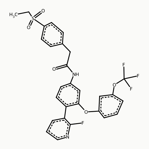 CCS(=O)(=O)c1ccc(CC(=O)Nc2ccc(-c3cccnc3F)c(Oc3cccc(OC(F)(F)F)c3)c2)cc1